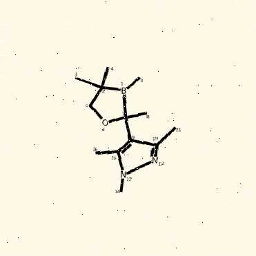 CB1C(C)(C)COC1(C)c1c(C)nn(C)c1C